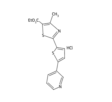 CCOC(=O)c1sc(-c2ccc(-c3cccnc3)s2)nc1C.Cl